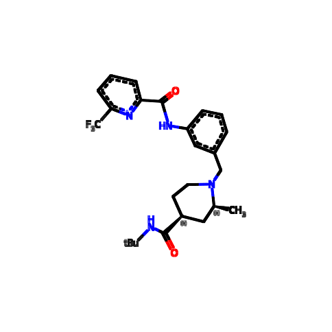 C[C@H]1C[C@@H](C(=O)NC(C)(C)C)CCN1Cc1cccc(NC(=O)c2cccc(C(F)(F)F)n2)c1